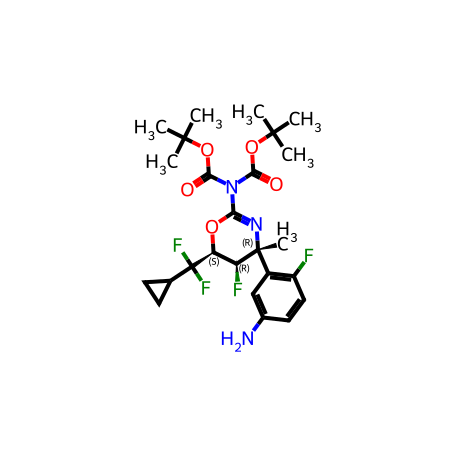 CC(C)(C)OC(=O)N(C(=O)OC(C)(C)C)C1=N[C@](C)(c2cc(N)ccc2F)[C@@H](F)[C@@H](C(F)(F)C2CC2)O1